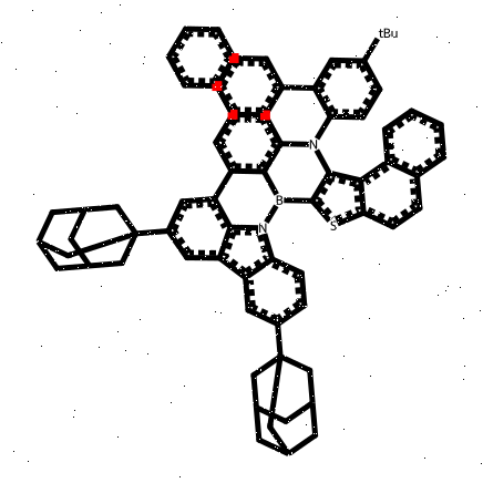 CC(C)(C)c1ccc(N2c3cc(-c4ccccc4)cc4c3B(c3sc5ccc6ccccc6c5c32)n2c3ccc(C56CC7CC(CC(C7)C5)C6)cc3c3cc(C56CC7CC(CC(C7)C5)C6)cc-4c32)c(-c2ccccc2)c1